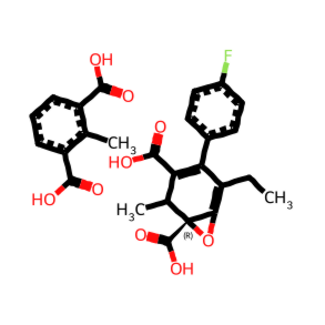 CCC1=C2O[C@]2(C(=O)O)C(C)C(C(=O)O)=C1c1ccc(F)cc1.Cc1c(C(=O)O)cccc1C(=O)O